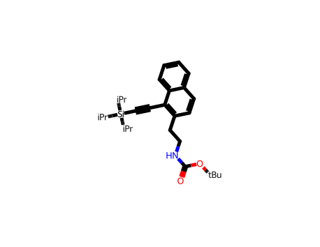 CC(C)[Si](C#Cc1c(CCNC(=O)OC(C)(C)C)ccc2ccccc12)(C(C)C)C(C)C